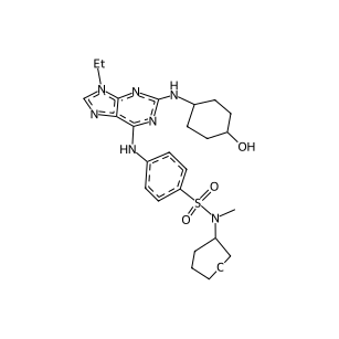 CCn1cnc2c(Nc3ccc(S(=O)(=O)N(C)C4CCCCC4)cc3)nc(NC3CCC(O)CC3)nc21